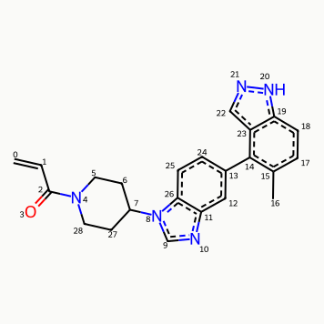 C=CC(=O)N1CCC(n2cnc3cc(-c4c(C)ccc5[nH]ncc45)ccc32)CC1